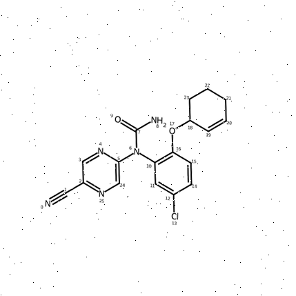 N#Cc1cnc(N(C(N)=O)c2cc(Cl)ccc2OC2C=CCCC2)cn1